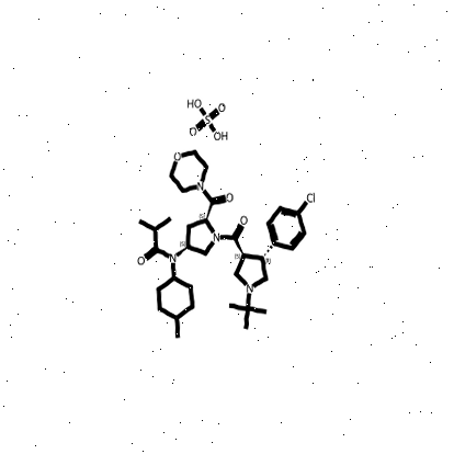 CC1CCC(N(C(=O)C(C)C)[C@H]2C[C@@H](C(=O)N3CCOCC3)N(C(=O)[C@@H]3CN(C(C)(C)C)C[C@H]3c3ccc(Cl)cc3)C2)CC1.O=S(=O)(O)O